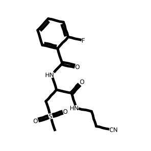 CS(=O)(=O)CC(NC(=O)c1ccccc1F)C(=O)NCCC#N